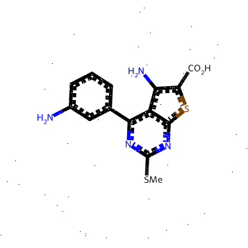 CSc1nc(-c2cccc(N)c2)c2c(N)c(C(=O)O)sc2n1